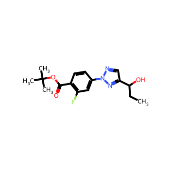 CCC(O)c1cnn(-c2ccc(C(=O)OC(C)(C)C)c(F)c2)n1